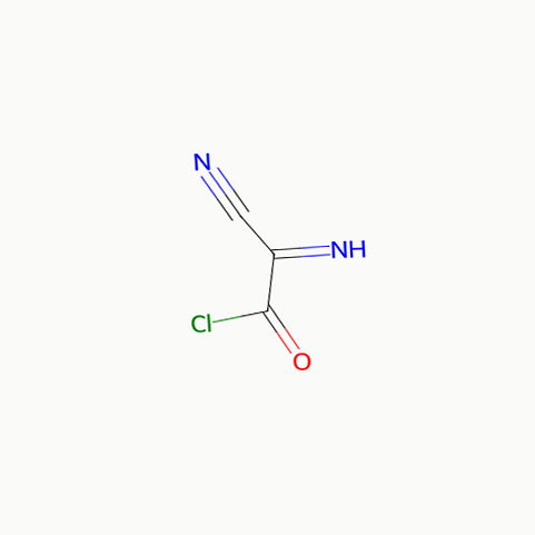 N#CC(=N)C(=O)Cl